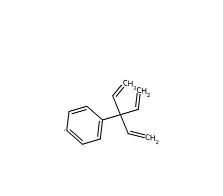 C=CC(C=C)(C=C)c1cc[c]cc1